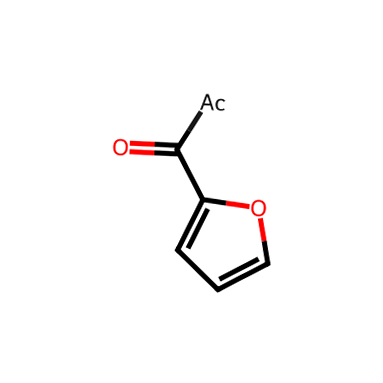 CC(=O)C(=O)c1ccco1